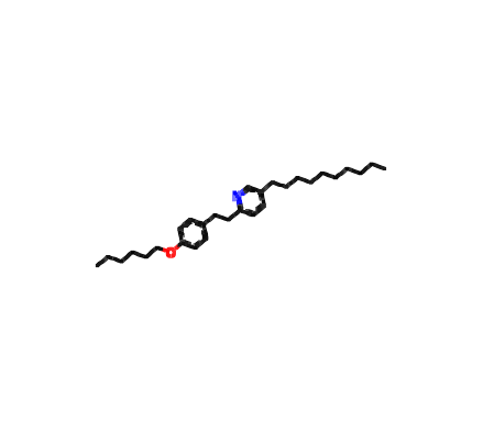 CCCCCCCCCCc1ccc(CCc2ccc(OCCCCCC)cc2)nc1